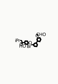 CC(C)CC(=O)c1ccc(OCc2cccc(-c3cccc(OC=O)c3)c2)c(Br)c1O